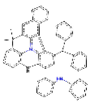 CC1(C)c2cccc3c2-n2c4c(c(-c5ccccc5Nc5ccccc5)cc(C(c5ccccc5)c5ccccc5)c4c4c5ccccc5cc1c42)B3